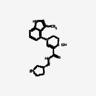 Cc1c[nH]c2nccc(N3C=C(C(=O)NC[C@H]4CCNC4)SCC3)c12.Cl